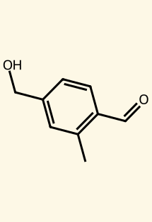 Cc1cc(CO)ccc1C=O